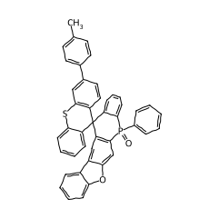 Cc1ccc(-c2ccc3c(c2)Sc2ccccc2C32c3ccccc3P(=O)(c3ccccc3)c3cc4oc5ccccc5c4cc32)cc1